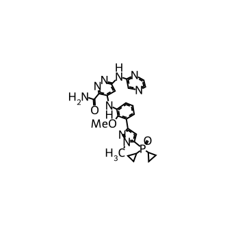 COc1c(Nc2cc(Nc3cnccn3)nnc2C(N)=O)cccc1-c1cc(P(=O)(C2CC2)C2CC2)n(C)n1